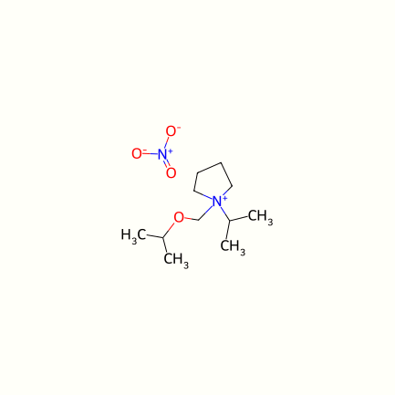 CC(C)OC[N+]1(C(C)C)CCCC1.O=[N+]([O-])[O-]